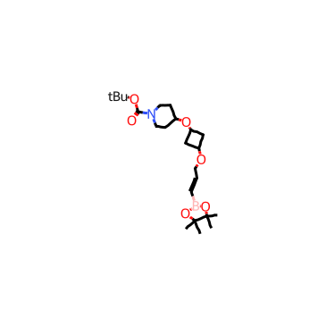 CC(C)(C)OC(=O)N1CCC(OC2CC(OC/C=C/B3OC(C)(C)C(C)(C)O3)C2)CC1